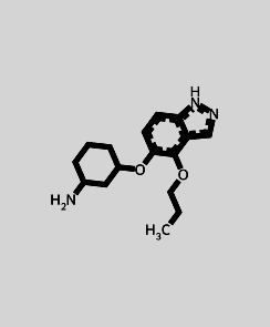 CCCOc1c(OC2CCCC(N)C2)ccc2[nH]ncc12